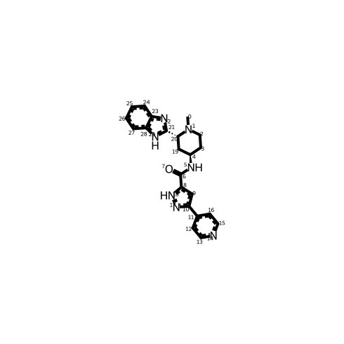 CN1CC[C@@H](NC(=O)c2cc(-c3ccncc3)n[nH]2)C[C@@H]1c1nc2ccccc2[nH]1